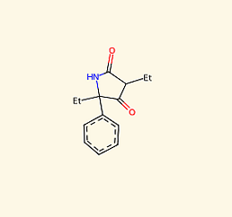 CCC1C(=O)NC(CC)(c2ccccc2)C1=O